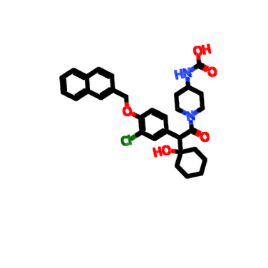 O=C(O)NC1CCN(C(=O)C(c2ccc(OCc3ccc4ccccc4c3)c(Cl)c2)C2(O)CCCCC2)CC1